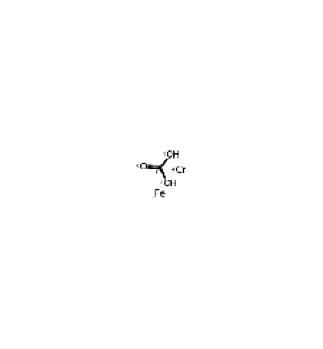 O=C(O)O.[Cr].[Fe]